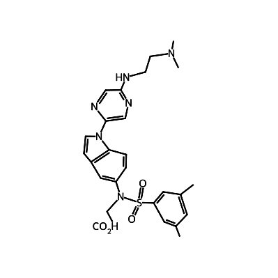 Cc1cc(C)cc(S(=O)(=O)N(CC(=O)O)c2ccc3c(ccn3-c3cnc(NCCN(C)C)cn3)c2)c1